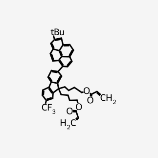 C=CC(=O)OCCCCC1(CCCCOC(=O)C=C)c2cc(-c3ccc4ccc5cc(C(C)(C)C)cc6ccc3c4c56)ccc2-c2ccc(C(F)(F)F)cc21